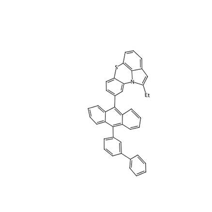 CCc1cc2cccc3c2n1-c1cc(-c2c4ccccc4c(-c4cccc(-c5ccccc5)c4)c4ccccc24)ccc1S3